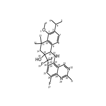 COc1c(C(C)C)ccc2c1C(C)(C)CC(O)(C(F)(F)F)C2Nc1ccc(F)c2nc(C)ncc12